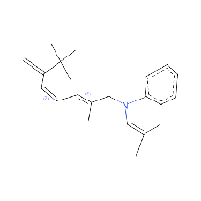 C=C(/C=C(C)\C=C(/C)CN(C=C(C)C)c1ccccc1)C(C)(C)C